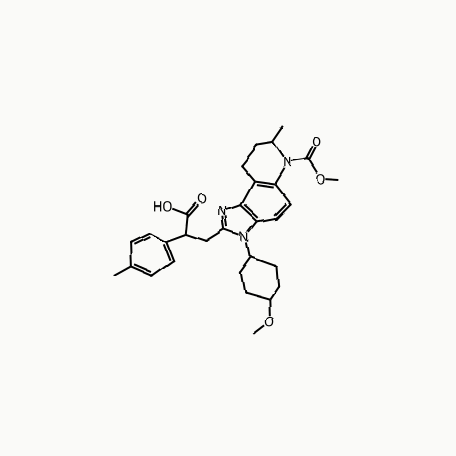 COC(=O)N1c2ccc3c(nc(CC(C(=O)O)c4ccc(C)cc4)n3C3CCC(OC)CC3)c2CCC1C